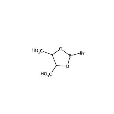 CC(C)B1OC(C(=O)O)C(C(=O)O)O1